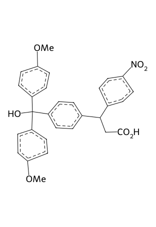 COc1ccc(C(O)(c2ccc(OC)cc2)c2ccc(C(CC(=O)O)c3ccc([N+](=O)[O-])cc3)cc2)cc1